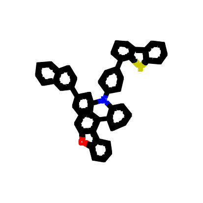 c1cc(-c2ccc3ccccc3c2)cc(N(c2ccc(-c3cccc4c3sc3ccccc34)cc2)c2ccccc2-c2cccc3oc4ccccc4c23)c1